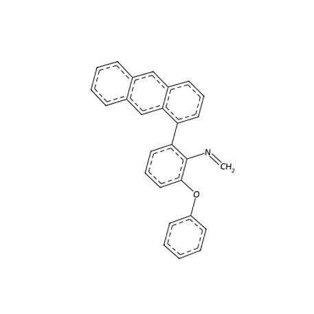 C=Nc1c(Oc2ccccc2)cccc1-c1cccc2cc3ccccc3cc12